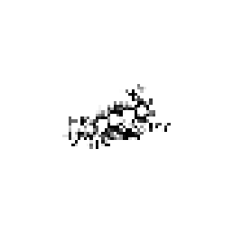 CC(=O)OC1=C2C(=O)c3c(OC(C)=O)ccc(N(C)C)c3C[C@H]2C[C@H]2CC(O)=C(C(N)=O)C(=O)[C@@]12O